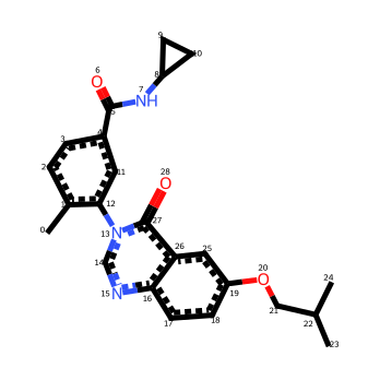 Cc1ccc(C(=O)NC2CC2)cc1-n1cnc2ccc(OCC(C)C)cc2c1=O